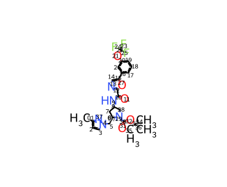 Cc1ccn(C[C@H]2CC(NC(=O)c3ncc(-c4cccc(OC(F)(F)F)c4)o3)CN2C(=O)OC(C)(C)C)n1